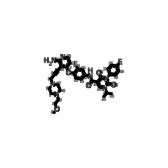 COCCN1CCN(CC#Cc2c(Oc3ccc(NC(=O)c4cn(C(C)C)c(=O)n(-c5ccc(F)cc5)c4=O)cc3F)ccnc2N)CC1